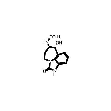 O=C(O)N[C@@H]1CCn2c(=O)[nH]c3cccc(c32)[C@H]1O